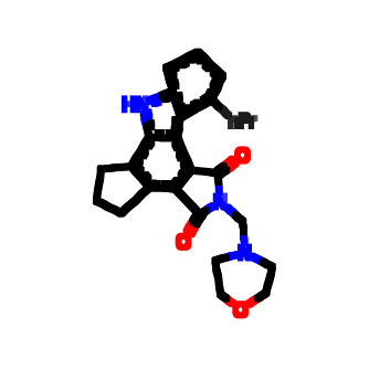 CCCc1cccc2[nH]c3c4c(c5c(c3c12)C(=O)N(CN1CCOCC1)C5=O)CCC4